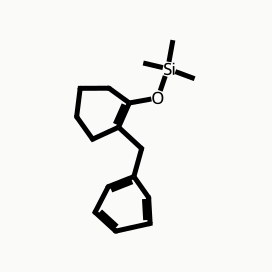 C[Si](C)(C)OC1=C(Cc2ccccc2)CCCC1